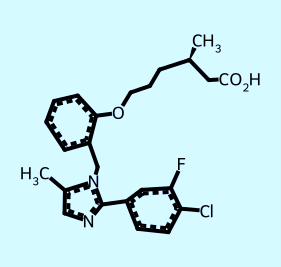 Cc1cnc(-c2ccc(Cl)c(F)c2)n1Cc1ccccc1OCCC[C@@H](C)CC(=O)O